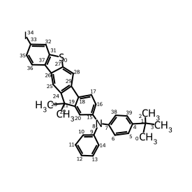 CC(C)(C)c1ccc(N(c2ccccc2)c2ccc3c(c2)C(C)(C)c2cc4c(cc2-3)sc2cc(I)ccc24)cc1